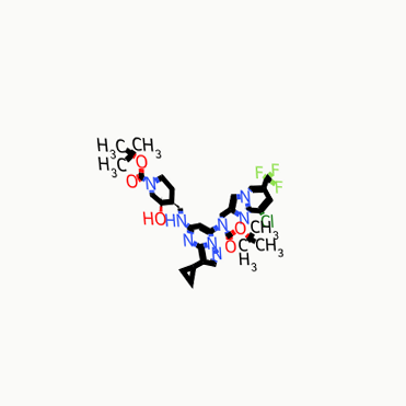 CC(C)(C)OC(=O)N1CC[C@H](CNc2cc(N(Cc3cn4cc(C(F)(F)F)cc(Cl)c4n3)C(=O)OC(C)(C)C)n3ncc(C4CC4)c3n2)[C@@H](O)C1